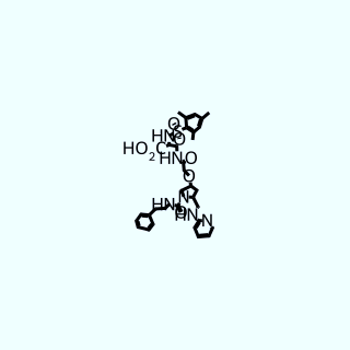 Cc1cc(C)c(S(=O)(=O)NC(CNC(=O)COC2CC(CNc3ccccn3)N(C(=O)NCCc3ccccc3)C2)C(=O)O)c(C)c1